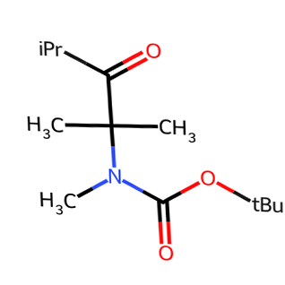 CC(C)C(=O)C(C)(C)N(C)C(=O)OC(C)(C)C